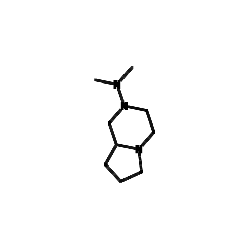 CN(C)N1CCN2CCCC2C1